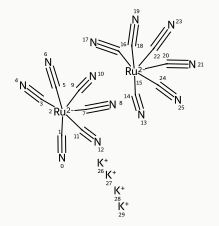 N#[C][Ru-2]([C]#N)([C]#N)([C]#N)([C]#N)[C]#N.N#[C][Ru-2]([C]#N)([C]#N)([C]#N)([C]#N)[C]#N.[K+].[K+].[K+].[K+]